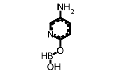 Nc1ccc(OBO)nc1